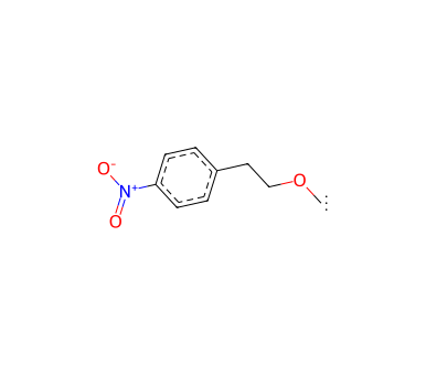 [C]OCCc1ccc([N+](=O)[O-])cc1